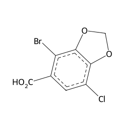 O=C(O)c1cc(Cl)c2c(c1Br)OCO2